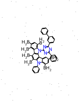 Bc1cc(B)c2c(c1)c1c(c(B)c(B)c3c4c(B)c(B)cc(B)c4n(-c4nc(-c5ccccc5)nc(-c5cccc(-c6ccccc6)c5)n4)c31)n2-c1ccccc1